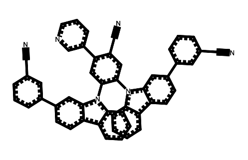 N#Cc1cccc(-c2ccc3c4ccccc4n(-c4cc(C#N)c(-c5cccnc5)cc4-n4c5ccccc5c5ccc(-c6cccc(C#N)c6)cc54)c3c2)c1